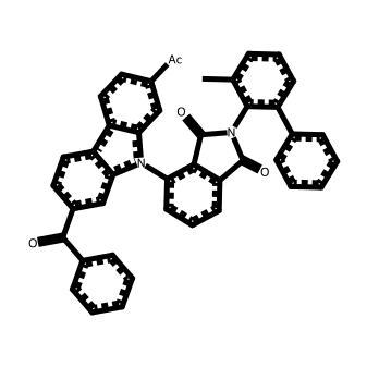 CC(=O)c1ccc2c3ccc(C(=O)c4ccccc4)cc3n(-c3cccc4c3C(=O)N(c3c(C)cccc3-c3ccccc3)C4=O)c2c1